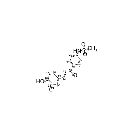 CS(=O)(=O)Nc1ccc(C(=O)/C=C/c2ccc(O)c(Cl)c2)cc1